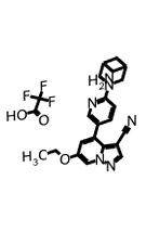 CCOc1cc(-c2ccc(N3CC4CC(C3)C4N)nc2)c2c(C#N)cnn2c1.O=C(O)C(F)(F)F